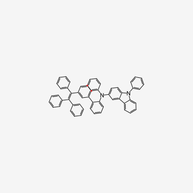 c1ccc(C(=C(c2ccccc2)c2cccc(-c3ccccc3N(c3ccccc3)c3ccc4c(c3)c3ccccc3n4-c3ccccc3)c2)c2ccccc2)cc1